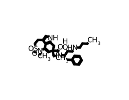 CCCCNC[C@@H](O)[C@H](Cc1ccccc1)NC(=O)C1(CC)C=C2c3c(c[nH]c3C1)CCS(=O)(=O)N2C